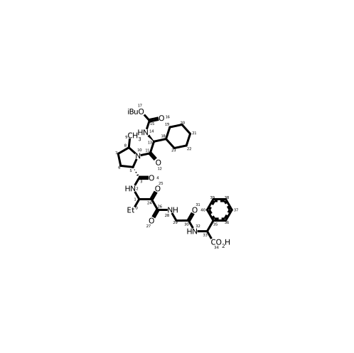 CCC(NC(=O)[C@@H]1CCC(C)N1C(=O)[C@@H](NC(=O)OCC(C)C)C1CCCCC1)C(=O)C(=O)NCC(=O)NC(C(=O)O)c1ccccc1